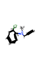 [2H]N(CC#C)c1ccccc1Cl